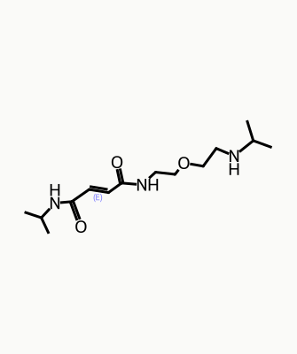 CC(C)NCCOCCNC(=O)/C=C/C(=O)NC(C)C